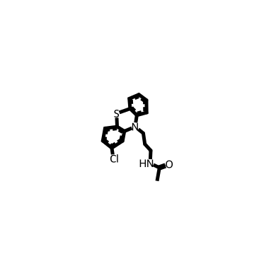 CC(=O)NCCCN1c2ccccc2Sc2ccc(Cl)cc21